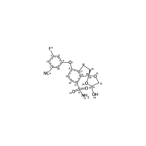 N#Cc1cc(F)cc(Oc2ccc(S(N)(=O)=O)c3c2CC[C@]32OCC(O)O2)c1